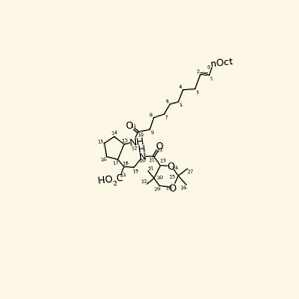 CCCCCCCCC=CCCCCCCCC(=O)NC1CCCC1C(CNC(=O)C1OC(C)(C)OCC1(C)C)C(=O)O